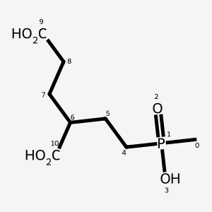 CP(=O)(O)CCC(CCC(=O)O)C(=O)O